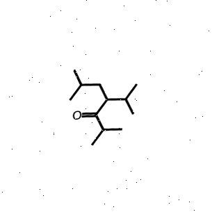 CC(C)CC(C(=O)C(C)C)C(C)C